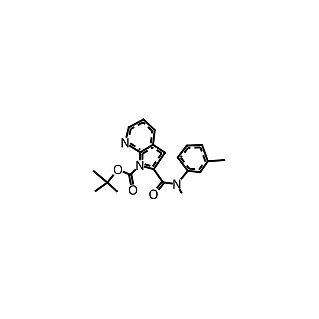 Cc1cccc(N(C)C(=O)c2cc3cccnc3n2C(=O)OC(C)(C)C)c1